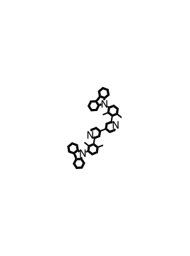 Cc1ccc(-n2c3ccccc3c3ccccc32)c(C)c1-c1cc(-c2ccnc(-c3c(C)ccc(-n4c5ccccc5c5ccccc54)c3C)c2)ccn1